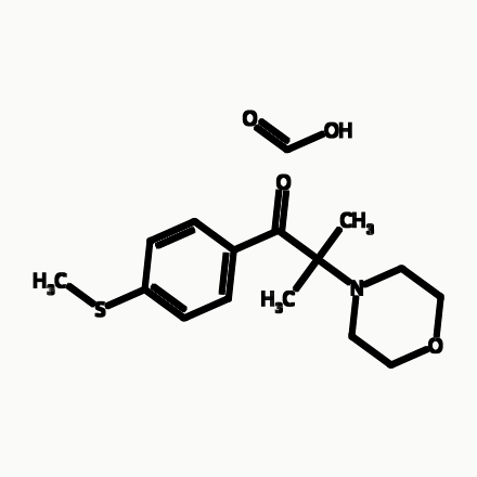 CSc1ccc(C(=O)C(C)(C)N2CCOCC2)cc1.O=CO